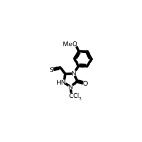 COc1cccc(N2C(=O)N(C(Cl)(Cl)Cl)NC2C=S)c1